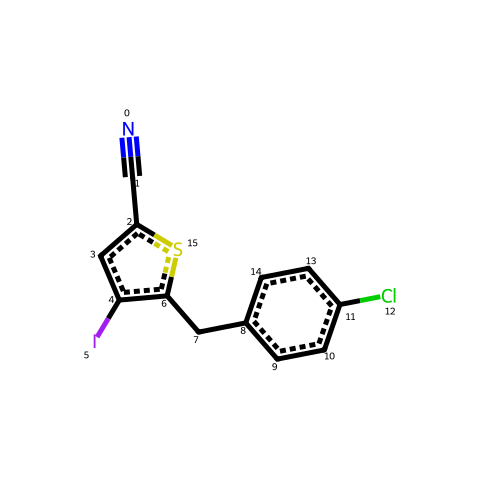 N#Cc1cc(I)c(Cc2ccc(Cl)cc2)s1